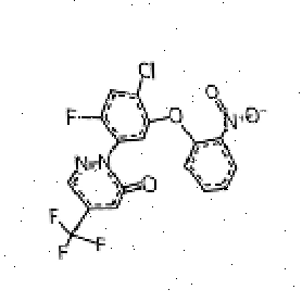 O=c1cc(C(F)(F)F)cnn1-c1cc(Oc2ccccc2[N+](=O)[O-])c(Cl)cc1F